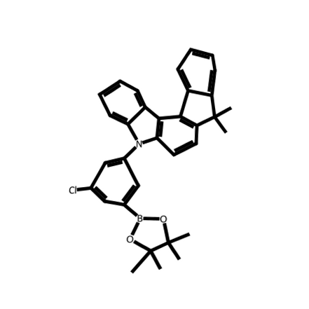 CC1(C)c2ccccc2-c2c1ccc1c2c2ccccc2n1-c1cc(Cl)cc(B2OC(C)(C)C(C)(C)O2)c1